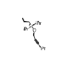 C=CC[Si](OCC#CC(C)C)(C(C)C)C(C)C